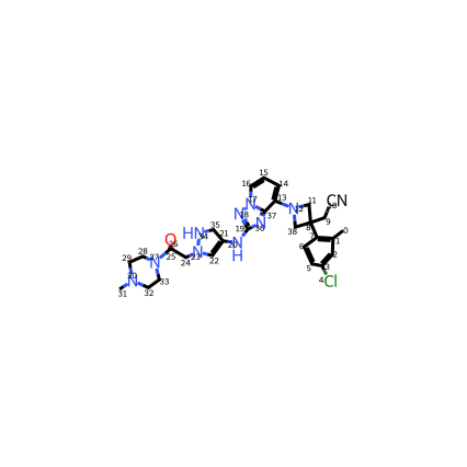 Cc1cc(Cl)ccc1C1(CC#N)CN(c2cccn3nc(NC4=CN(CC(=O)N5CCN(C)CC5)NC4)nc23)C1